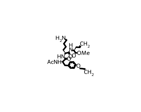 C=CCOc1ccc(C[C@H](NC(C)=O)C(=O)N[C@@H](CCCCN)C(=O)N[C@@H](CC=C)C(=O)OC)cc1